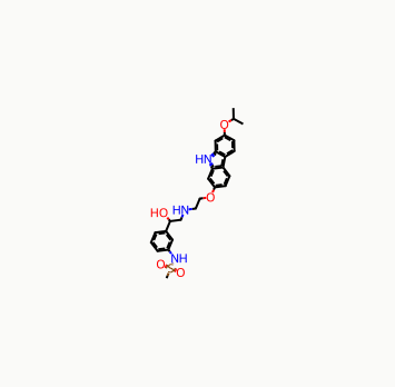 CC(C)Oc1ccc2c(c1)[nH]c1cc(OCCNCC(O)c3cccc(NS(C)(=O)=O)c3)ccc12